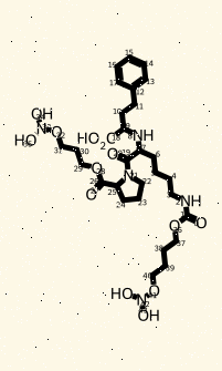 O=C(NCCCCC(NC(CCc1ccccc1)C(=O)O)C(=O)N1CCCC1C(=O)OCCCON(O)O)OCCCCON(O)O